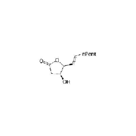 CCCCC/C=C/[C@@H]1OC(=O)C[C@@H]1O